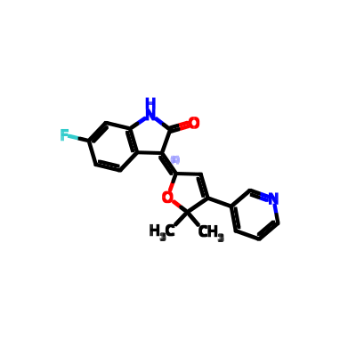 CC1(C)O/C(=C2/C(=O)Nc3cc(F)ccc32)C=C1c1cccnc1